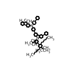 CCCCCCc1cc(C(C)(C)C)c(CCCCCC)cc1-c1cc(-n2c3ccc(-c4ccccc4)cc3c3cc(-c4ccc(N(C5=CC=C(c6ccccc6)CC5)c5ccc6c(c5)C(C)(C)c5ccccc5-6)cc4)ccc32)cc(C(C)(C)C)c1